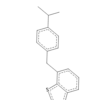 CC(C)c1ccc(Cc2cccc3c[c]sc23)cc1